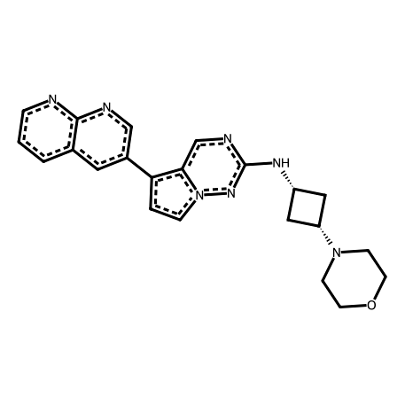 c1cnc2ncc(-c3ccn4nc(N[C@H]5C[C@@H](N6CCOCC6)C5)ncc34)cc2c1